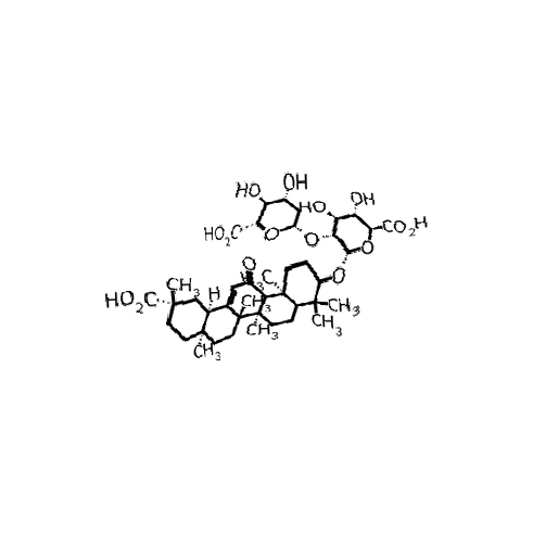 CC1(C)C(O[C@H]2O[C@H](C(=O)O)[C@@H](O)[C@H](O)[C@H]2O[C@H]2C[C@@H](O)[C@H](O)[C@@H](C(=O)O)O2)CC[C@@]2(C)C1CC[C@]1(C)C2C(=O)C=C2[C@@H]3C[C@@](C)(C(=O)O)CC[C@]3(C)CC[C@]21C